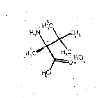 CC(C)(C)[C@@](C)(N)C(=O)O.Cl